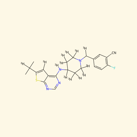 [2H]c1c(C([2H])(C)C)sc2ncnc(N([2H])C3([2H])C([2H])([2H])C([2H])([2H])N(C([2H])c4ccc(F)c(C#N)c4)C([2H])([2H])C3([2H])[2H])c12